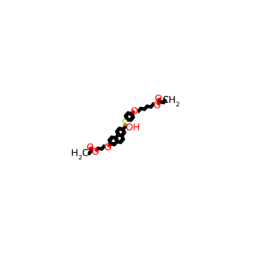 C=CC(=O)OCCCCCCOc1ccc(SC(O)c2ccc3c(ccc4cc(OCCCOC(=O)C=C)ccc43)c2)cc1